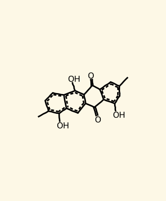 Cc1cc(O)c2c(c1)C(=O)c1c(cc3c(O)c(C)ccc3c1O)C2=O